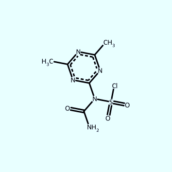 Cc1nc(C)nc(N(C(N)=O)S(=O)(=O)Cl)n1